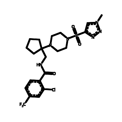 Cn1cc(S(=O)(=O)N2CCN(C3(CNC(=O)c4ccc(C(F)(F)F)cc4Cl)CCCC3)CC2)nn1